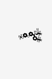 OC(CNC(c1cccc(Oc2cccc(OC(F)(F)F)c2)c1)C1CCCC(C(F)(F)C(F)(F)F)C1)C(F)(F)F